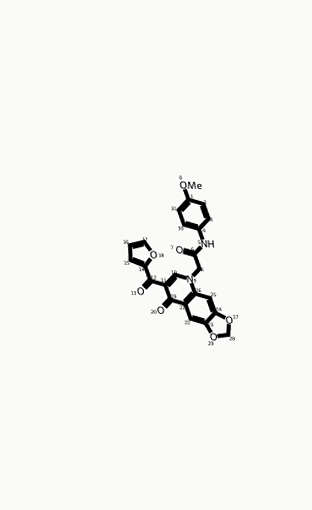 COc1ccc(NC(=O)Cn2cc(C(=O)c3ccco3)c(=O)c3cc4c(cc32)OCO4)cc1